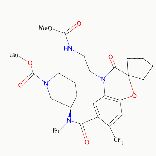 COC(=O)NCCN1C(=O)C2(CCCC2)Oc2cc(C(F)(F)F)c(C(=O)N(C(C)C)[C@@H]3CCCN(C(=O)OC(C)(C)C)C3)cc21